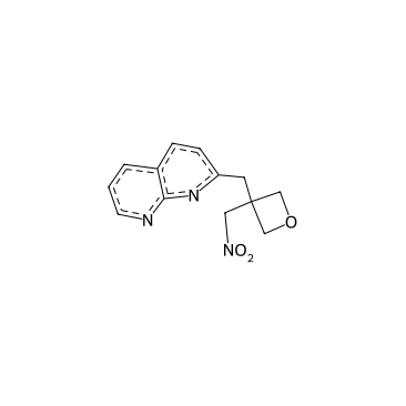 O=[N+]([O-])CC1(Cc2ccc3cccnc3n2)COC1